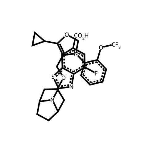 O=C(O)c1cc(F)c2nc(N3C4CCC3CC(OCC3=C(C5CC5)OCN3c3ccccc3OC(F)(F)F)C4)sc2c1